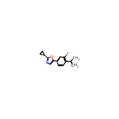 CC(C)c1ccc(-c2cnc(C3CC3)o2)cc1F